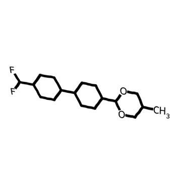 CC1COC(C2CCC(C3CCC(C(F)F)CC3)CC2)OC1